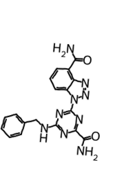 NC(=O)c1nc(NCc2ccccc2)nc(-n2nnc3c(C(N)=O)cccc32)n1